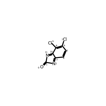 O=C1N=c2ccc(Cl)c(Cl)c2=N1